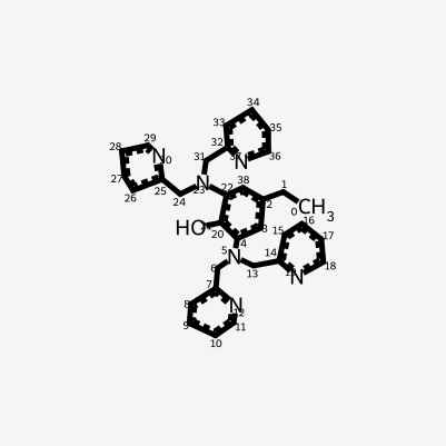 CCc1cc(N(Cc2ccccn2)Cc2ccccn2)c(O)c(N(Cc2ccccn2)Cc2ccccn2)c1